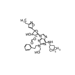 CCc1cc([C@H]2O[C@@H](n3cnc4c(NC(CC)CC)nc(N(CO)CCc5ccccc5)nc43)[C@H](OC=O)[C@@H]2O)on1